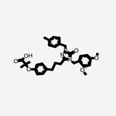 COc1ccc(Cn2c(CCCc3ccc(OC(C)(C)C(=O)O)cc3)nn(Cc3ccc(C)cc3)c2=O)c(OC)c1